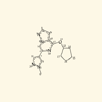 Cn1cc(-c2cn3nccc3c(OC3CCCC3)n2)cn1